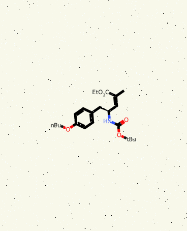 CCCCOc1ccc(C[C@@H](/C=C(/C)C(=O)OCC)NC(=O)OC(C)(C)C)cc1